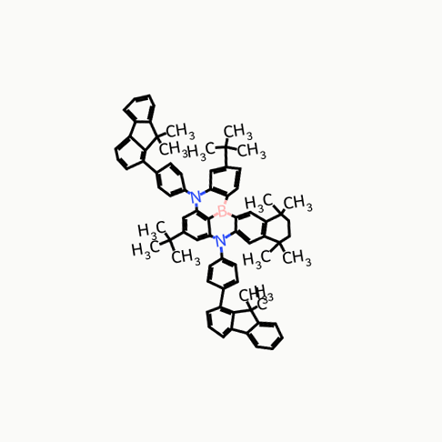 CC(C)(C)c1ccc2c(c1)N(c1ccc(-c3cccc4c3C(C)(C)c3ccccc3-4)cc1)c1cc(C(C)(C)C)cc3c1B2c1cc2c(cc1N3c1ccc(-c3cccc4c3C(C)(C)c3ccccc3-4)cc1)C(C)(C)CCC2(C)C